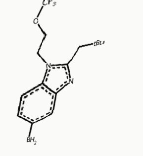 Bc1ccc2c(c1)nc(CC(C)(C)C)n2CCOC(F)(F)F